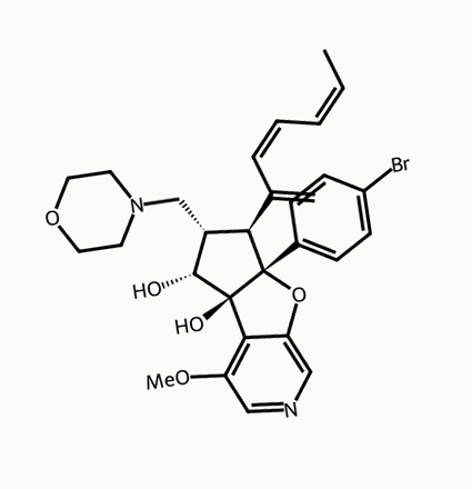 C=C(/C=C\C=C/C)[C@@H]1[C@@H](CN2CCOCC2)[C@@H](O)[C@@]2(O)c3c(OC)cncc3O[C@@]12c1ccc(Br)cc1